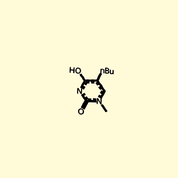 CCCCc1cn(C)c(=O)nc1O